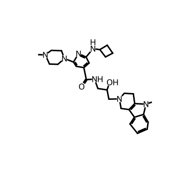 CN1CCN(c2cc(C(=O)NCC(O)CN3CCc4c(c5ccccc5n4C)C3)cc(NC3CCC3)n2)CC1